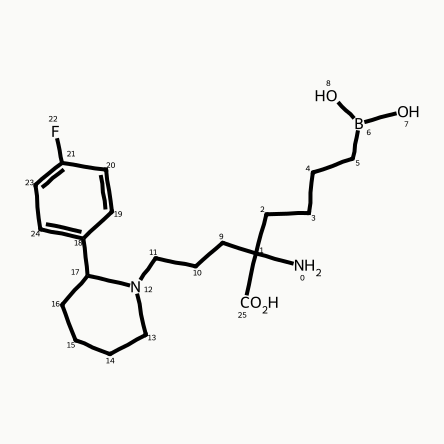 NC(CCCCB(O)O)(CCCN1CCCCC1c1ccc(F)cc1)C(=O)O